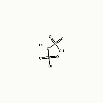 O=S(=O)(O)OS(=O)(=O)O.[Fe]